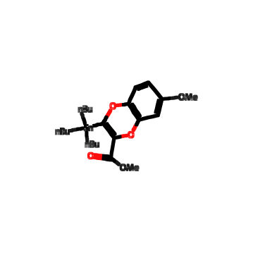 CCC[CH2][Sn]([CH2]CCC)([CH2]CCC)[C]1=C(C(=O)OC)Oc2cc(OC)ccc2O1